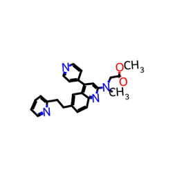 COC(=O)CN(C)c1cc(-c2ccncc2)c2cc(CCc3ccccn3)ccc2n1